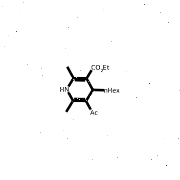 CCCCCCC1C(C(C)=O)=C(C)NC(C)=C1C(=O)OCC